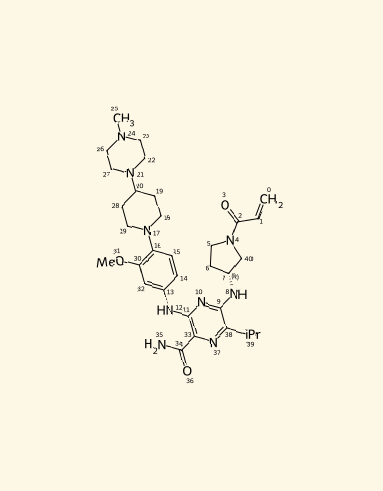 C=CC(=O)N1CC[C@@H](Nc2nc(Nc3ccc(N4CCC(N5CCN(C)CC5)CC4)c(OC)c3)c(C(N)=O)nc2C(C)C)C1